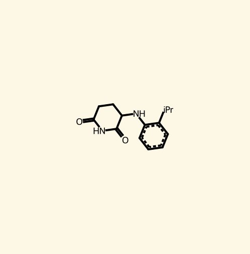 CC(C)c1ccccc1NC1CCC(=O)NC1=O